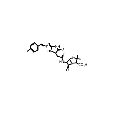 Cc1ccc(/C=N/N=C2/NC(=O)C(CC(=O)NC3C(=O)N4C3SC(C)(C)C4C(=O)O)N2)cc1